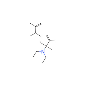 C=C(C)C(C)CCC(C)(C(=C)C)N(CC)CC